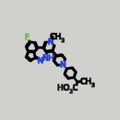 CC(C(=O)O)[C@H]1CC[C@H](N2CC=C(C3=C4NN=C5C=Cc6cc(F)cc(c65)C4=CN(C)C3)CC2)CC1